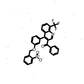 O=C(c1ccccc1)c1cnc2c(C(F)(F)F)cccc2c1-c1cccc(OCc2ccccc2[N+](=O)[O-])c1